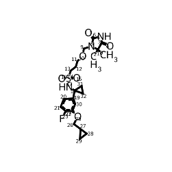 CC1(C)C(=O)NC(=O)N1COCCCS(=O)(=O)NC1(c2ccc(F)c(OCC3CC3)c2)CC1